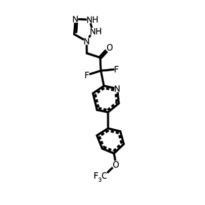 O=C(CN1C=NNN1)C(F)(F)c1ccc(-c2ccc(OC(F)(F)F)cc2)cn1